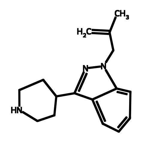 C=C(C)Cn1nc(C2CCNCC2)c2ccccc21